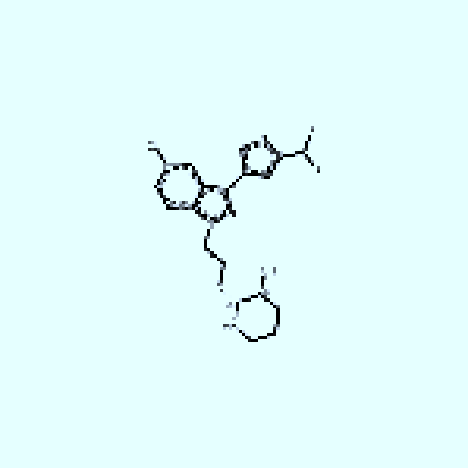 O[C@H]1CCCN[C@@H]1CCCn1nc(-c2cnn(C(F)F)c2)c2cc(Cl)ccc21